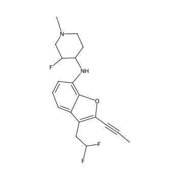 CC#Cc1oc2c(NC3CCN(C)CC3F)cccc2c1CC(F)F